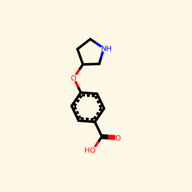 O=C(O)c1ccc(OC2CCNC2)cc1